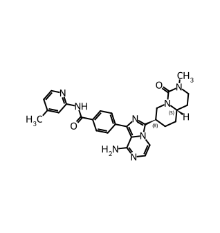 Cc1ccnc(NC(=O)c2ccc(-c3nc([C@@H]4CC[C@H]5CCN(C)C(=O)N5C4)n4ccnc(N)c34)cc2)c1